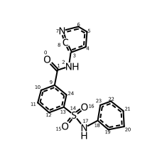 O=C(Nc1cccnc1)c1cccc(S(=O)(=O)Nc2ccccc2)c1